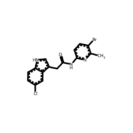 Cc1nc(NC(=O)Cc2c[nH]c3ccc(Cl)cc23)ccc1Br